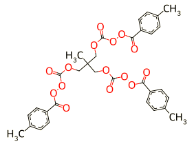 Cc1ccc(C(=O)OOC(=O)OCC(C)(COC(=O)OOC(=O)c2ccc(C)cc2)COC(=O)OOC(=O)c2ccc(C)cc2)cc1